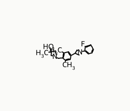 Cc1cc(C2CN(c3ccccc3F)C2)cc(C)c1CN1CC(C)(O)C1